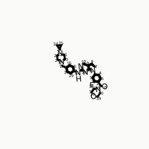 O=C(c1ccc(-n2ccc3cnc(Nc4ccc(CN5CCN(C6CC6)CC5)cc4)nc32)cc1F)N1CCOCC1